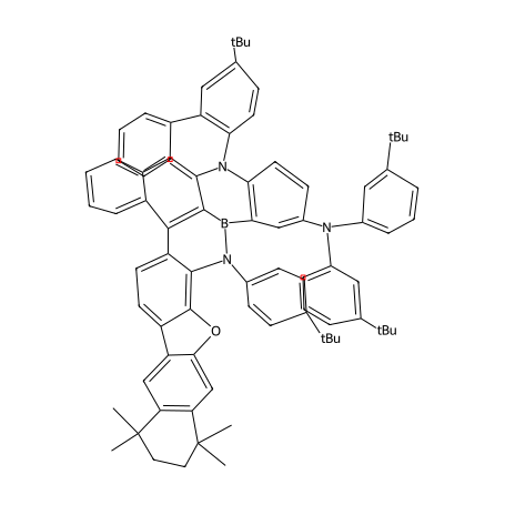 CC(C)(C)c1ccc(N2B3c4cc(N(c5cccc(C(C)(C)C)c5)c5cccc(C(C)(C)C)c5)ccc4N(c4ccc(C(C)(C)C)cc4-c4ccccc4)c4cc5ccccc5c(c43)-c3ccc4c(oc5cc6c(cc54)C(C)(C)CCC6(C)C)c32)cc1